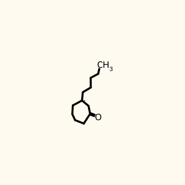 CCCCC[C]1CCCCC(=O)C1